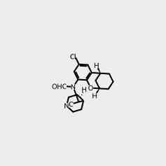 O=CN(c1cc(Cl)cc2c1O[C@H]1CCC[C@@H]2C1)[C@@H]1CN2CCC1CC2